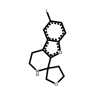 Ic1ccc2oc3c(c2c1)CCNC31CCOC1